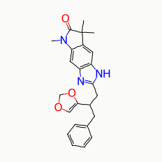 CN1C(=O)C(C)(C)c2cc3[nH]c(CC(Cc4ccccc4)C4=COCO4)nc3cc21